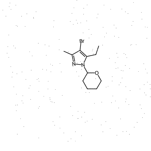 CCc1c(Br)c(C)nn1C1CCCCO1